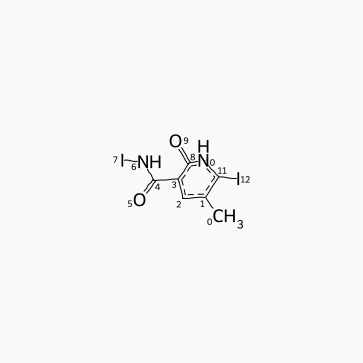 Cc1cc(C(=O)NI)c(=O)[nH]c1I